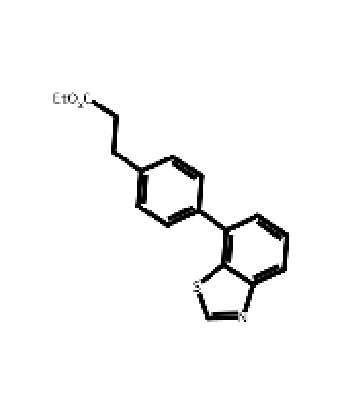 CCOC(=O)CCc1ccc(-c2cccc3ncsc23)cc1